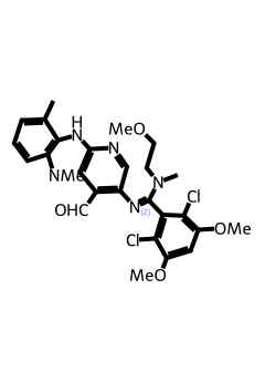 CNc1cccc(C)c1Nc1cc(C=O)c(/N=C(/c2c(Cl)c(OC)cc(OC)c2Cl)N(C)CCOC)cn1